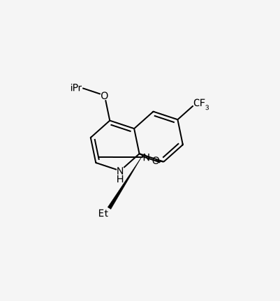 CC[C@@H]1COC2=CC(C(F)(F)F)=CC3=C(OC(C)C)C=CNC23N1C